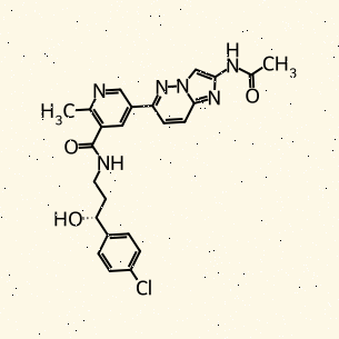 CC(=O)Nc1cn2nc(-c3cnc(C)c(C(=O)NCC[C@@H](O)c4ccc(Cl)cc4)c3)ccc2n1